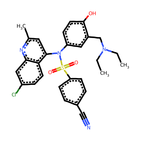 CCN(CC)Cc1cc(N(c2cc(C)nc3cc(Cl)ccc23)S(=O)(=O)c2ccc(C#N)cc2)ccc1O